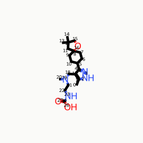 Cc1[nH]nc(C2CCC3(CC2)CC(C)(C)CO3)c1CN(C)CCNC(=O)O